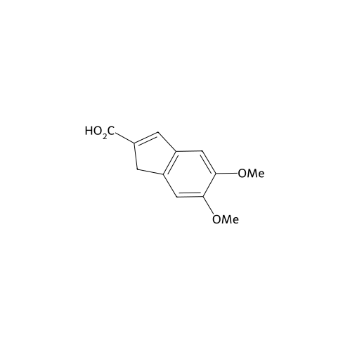 COc1cc2c(cc1OC)CC(C(=O)O)=C2